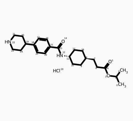 CC(C)OC(=O)CC[C@H]1CC[C@H](NC(=O)c2ccc(C3CCNCC3)cc2)CC1.Cl